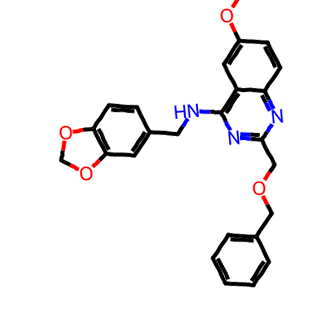 COc1ccc2nc(COCc3ccccc3)nc(NCc3ccc4c(c3)OCO4)c2c1